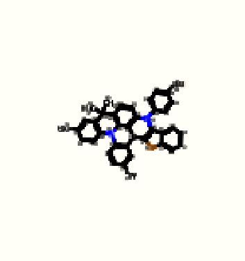 CC(C)c1ccc2c(c1)B1c3sc4ccccc4c3N(c3ccc(C(C)(C)C)cc3)c3ccc4c(c31)N2c1ccc(C(C)(C)C)cc1C4(C)C